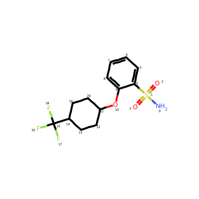 NS(=O)(=O)c1ccccc1OC1CCC(C(F)(F)F)CC1